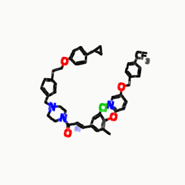 Cc1cc(/C=C/C(=O)N2CCN(Cc3ccc(CCOc4ccc(C5CC5)cc4)cc3)CC2)cc(Cl)c1Oc1ccc(OCc2ccc(C(F)(F)F)cc2)cn1